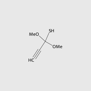 C#CC(S)(OC)OC